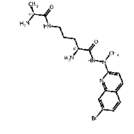 C[C@H](N)C(=O)NCCC[C@H](N)C(=O)NN(C)c1ccc2ccc(Br)cc2n1